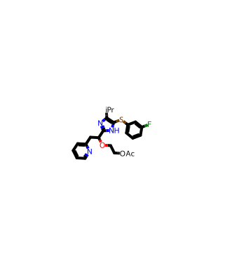 CC(=O)OCCOC(Cc1ccccn1)c1nc(C(C)C)c(Sc2cccc(F)c2)[nH]1